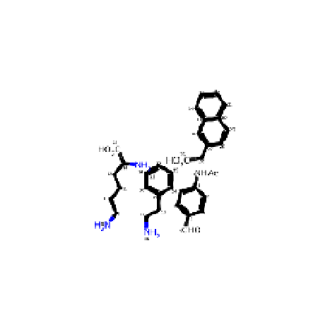 CC(=O)Nc1ccc(C=O)cc1.NCCCCC(N)C(=O)O.NCCc1ccccc1.O=C(O)Cc1ccc2ccccc2c1